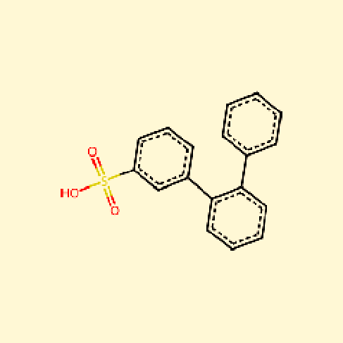 O=S(=O)(O)c1cccc(-c2ccccc2-c2ccccc2)c1